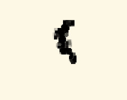 CC(C)(C)c1cc(NC(=O)Nc2ccc(NC(=O)c3cccc(OCCN4CCOCC4)n3)cc2)no1